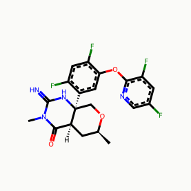 C[C@H]1C[C@H]2C(=O)N(C)C(=N)N[C@@]2(c2cc(Oc3ncc(F)cc3F)c(F)cc2F)CO1